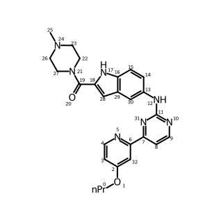 CCCOc1ccnc(-c2ccnc(Nc3ccc4[nH]c(C(=O)N5CCN(C)CC5)cc4c3)n2)c1